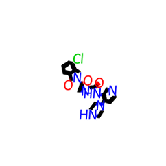 O=C(Nc1cnccc1N1CCNCC1)c1ncc(N2Cc3c(Cl)cccc3C2=O)o1